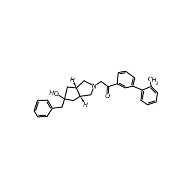 Cc1ccccc1-c1cccc(C(=O)CN2C[C@@H]3CC(O)(Cc4ccccc4)C[C@@H]3C2)c1